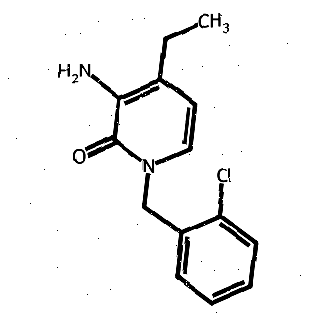 CCc1ccn(Cc2ccccc2Cl)c(=O)c1N